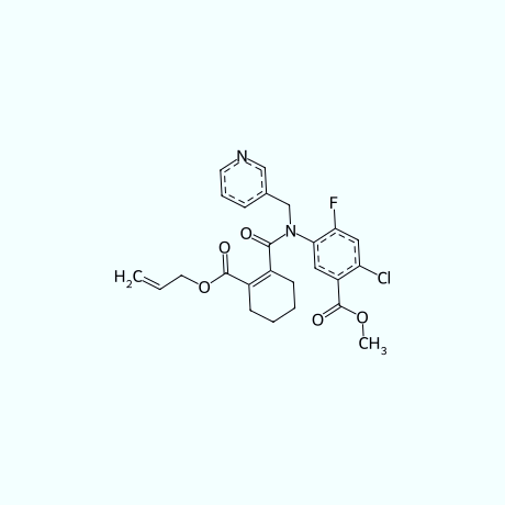 C=CCOC(=O)C1=C(C(=O)N(Cc2cccnc2)c2cc(C(=O)OC)c(Cl)cc2F)CCCC1